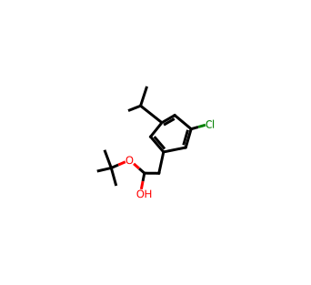 CC(C)c1cc(Cl)cc(CC(O)OC(C)(C)C)c1